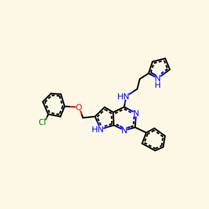 Clc1cccc(OCc2cc3c(NCCc4ccc[nH]4)nc(-c4ccccc4)nc3[nH]2)c1